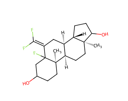 C[C@]12CC[C@@H]3[C@@H](CC(=C(F)F)C4(F)CC(O)CC[C@]34C)[C@@H]1CCC2O